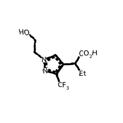 CCC(C(=O)O)c1cn(CCO)nc1C(F)(F)F